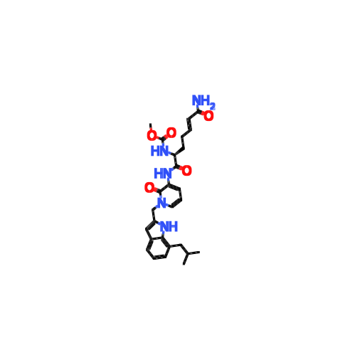 COC(=O)N[C@@H](CC/C=C/C(N)=O)C(=O)Nc1cccn(Cc2cc3cccc(CC(C)C)c3[nH]2)c1=O